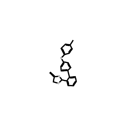 C=C1COC(c2ccccc2-c2ccc(Sc3ccc(C)cc3)cc2)O1